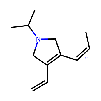 C=CC1=C(/C=C\C)CN(C(C)C)C1